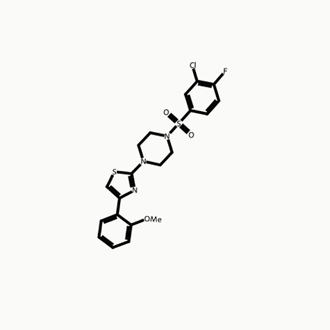 COc1ccccc1-c1csc(N2CCN(S(=O)(=O)c3ccc(F)c(Cl)c3)CC2)n1